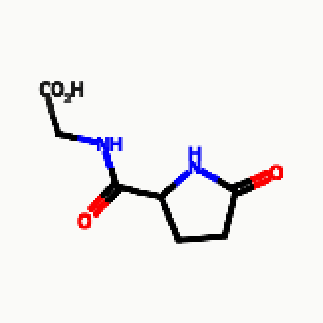 O=C(O)CNC(=O)C1CCC(=O)N1